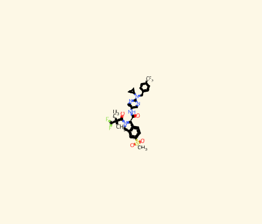 CC(C)(C(=O)N1Cc2cc(S(C)(=O)=O)ccc2[C@@H]1C(=O)Nc1cnc(N(Cc2ccc(C(F)(F)F)cc2)C2CC2)nc1)C(F)F